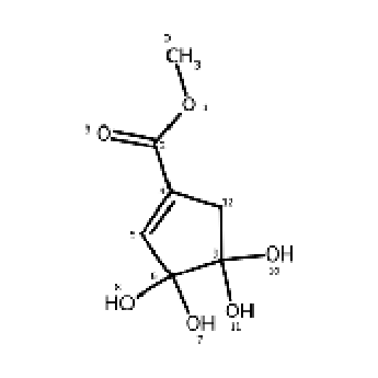 COC(=O)C1=CC(O)(O)C(O)(O)C1